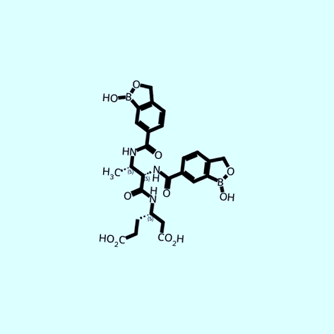 C[C@H](NC(=O)c1ccc2c(c1)B(O)OC2)[C@H](NC(=O)c1ccc2c(c1)B(O)OC2)C(=O)N[C@@H](CCC(=O)O)CC(=O)O